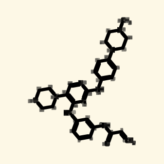 C=CC(=O)Nc1cccc(Nc2nc(Nc3ccc(N4CCN(C)CC4)cc3)ncc2N2CCOCC2)c1